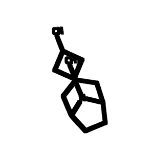 CC1CC2CCC(C1)N2C1CC(C#N)C1